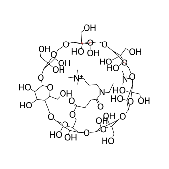 CN(C)CCCN(CCC[N+](C)(C)C)C(=O)CCC(=O)OCC1OC2OC3C(CO)OC(OC4C(CO)OC(OC5C(CO)OC(OC6C(CO)OC(OC7C(CO)OC(OC8C(CO)OC(OC1C(O)C2O)C(O)C8O)C(O)C7O)C(O)C6O)C(O)C5O)C(O)C4O)C(O)C3O